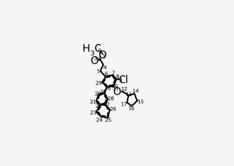 COC(=O)CCc1cc(Cl)c(OCC2CCCC2)c(-c2ccc3ccccc3c2)c1